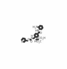 Nc1ccccc1NC(=O)c1ccc(CNC(=O)OCc2cccnc2)cc1.O=C(O)/C=C/C(=O)O